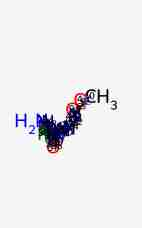 C/C=C/C(=O)CCCC(=O)N1CCC(CN2CCN(c3nc(-c4cnc(N)nc4C(F)F)nc(N4CCOCC4)n3)CC2)CC1